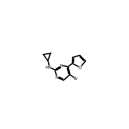 Brc1cnc(NC2CC2)nc1-c1ccco1